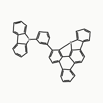 c1cc(-c2ccc3c4ccccc4c4ccc5c6ccccc6n6c2c3c4c56)cc(-n2c3ccccc3c3ccccc32)c1